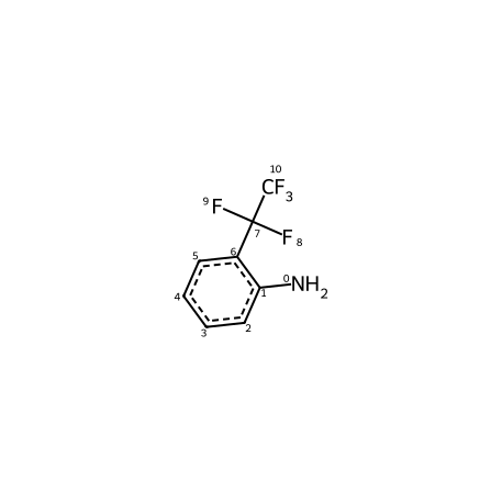 Nc1ccccc1C(F)(F)C(F)(F)F